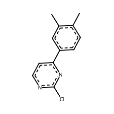 [CH2]c1ccc(-c2ccnc(Cl)n2)cc1C